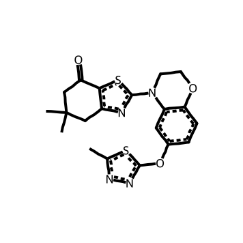 Cc1nnc(Oc2ccc3c(c2)N(c2nc4c(s2)C(=O)CC(C)(C)C4)CCO3)s1